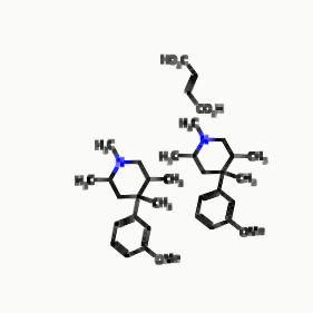 COc1cccc(C2(C)CC(C)N(C)CC2C)c1.COc1cccc(C2(C)CC(C)N(C)CC2C)c1.O=C(O)C=CC(=O)O